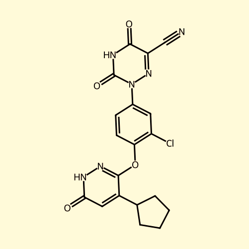 N#Cc1nn(-c2ccc(Oc3n[nH]c(=O)cc3C3CCCC3)c(Cl)c2)c(=O)[nH]c1=O